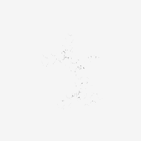 CC(=O)OCCOC(=O)CC(C)(c1ccc(OP(Oc2ccc3ccccc3c2)Oc2ccc3ccccc3c2)c(C(C)(C)C)c1)c1ccc(OP(Oc2ccc3ccccc3c2)Oc2ccc3ccccc3c2)c(C(C)(C)C)c1